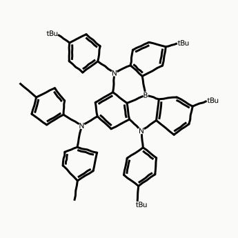 Cc1ccc(N(c2ccc(C)cc2)c2cc3c4c(c2)N(c2ccc(C(C)(C)C)cc2)c2ccc(C(C)(C)C)cc2B4c2cc(C(C)(C)C)ccc2N3c2ccc(C(C)(C)C)cc2)cc1